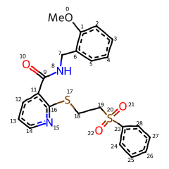 COc1ccccc1CNC(=O)c1cccnc1SCCS(=O)(=O)c1ccccc1